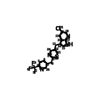 FC(F)(F)c1ccc([CH]c2ncc(Cc3c[nH]c4ncc(Cl)cc34)cn2)cn1